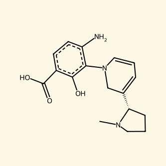 CN1CCC[C@H]1C1=CC=CN(c2c(N)ccc(C(=O)O)c2O)C1